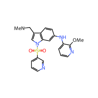 CNCc1cn(S(=O)(=O)c2cccnc2)c2cc(Nc3cccnc3OC)ccc12